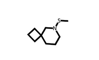 CSN1CCCC2(CCC2)C1